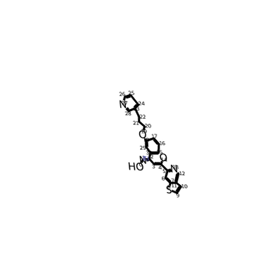 O/N=c1\cc(-c2cc3sccc3cn2)oc2ccc(OCCCc3cccnc3)cc12